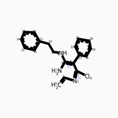 C=C/N=C(Cl)\C(=C(/N)NCCc1ccccc1)c1ccccc1